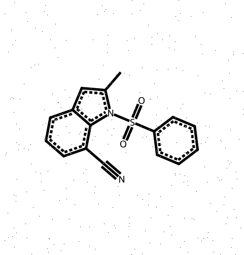 Cc1cc2cccc(C#N)c2n1S(=O)(=O)c1ccccc1